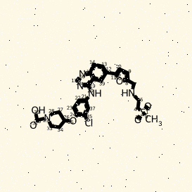 CS(=O)(=O)CCNCc1ccc(-c2ccc3ncnc(Nc4ccc(OC5CCN(C(=O)O)CC5)c(Cl)c4)c3c2)o1